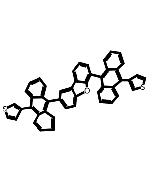 c1ccc2c(-c3ccc4oc5c(-c6c7ccccc7c(-c7ccsc7)c7ccccc67)cccc5c4c3)c3ccccc3c(-c3ccsc3)c2c1